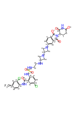 O=C1CCC(N2C(=O)c3ccc(N4CC(N5CC(NCCNS(=O)(=O)Nc6ccc(Cl)cc6C(=O)Nc6ccc(C(F)(F)F)cc6Cl)C5)C4)cc3C2=O)C(=O)N1